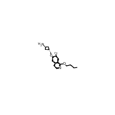 CCCCOc1nccc2cc(OC[C@H]3C[C@H](N)C3)c(Cl)cc12